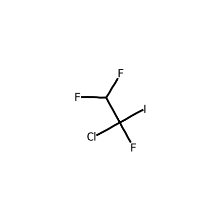 FC(F)C(F)(Cl)I